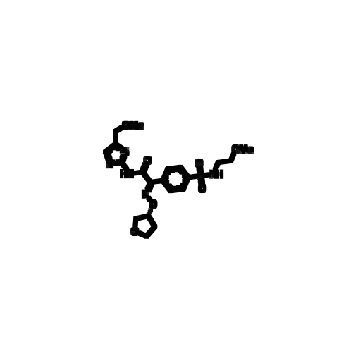 COCCNS(=O)(=O)c1ccc(/C(=N\O[C@@H]2CCOC2)C(=O)Nc2ncc(COC)s2)cc1